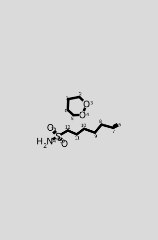 C1CCOOC1.C=CCCCCCS(N)(=O)=O